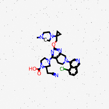 CN1CCN(C2(COc3nc4c(c(N5CCN(C(=O)O)C(CC#N)C5)n3)CCN(c3cncc5cccc(Cl)c35)C4)CC2)CC1